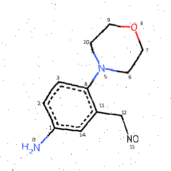 Nc1ccc(N2CCOCC2)c(CN=O)c1